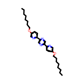 CCCCCCCCOc1ccc(-c2cnc(-c3ccc(OCCCCCCCC)cn3)cn2)nc1